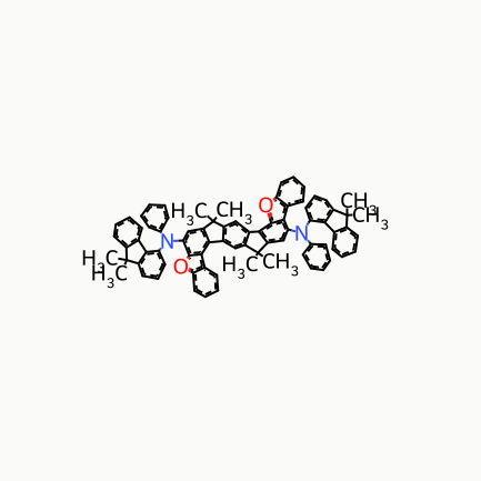 CC1(C)c2ccccc2-c2c(N(c3ccccc3)c3cc4c(c5c3oc3ccccc35)-c3cc5c(cc3C4(C)C)-c3c(cc(N(c4ccccc4)c4cccc6c4-c4ccccc4C6(C)C)c4c3oc3ccccc34)C5(C)C)cccc21